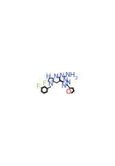 Nc1nc(N)n2nc(-c3ccco3)nc2c1CC1CCCN1Cc1cccc(F)c1F